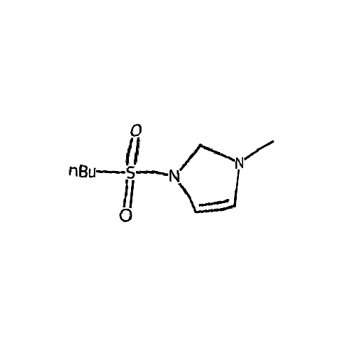 CCCCS(=O)(=O)N1C=CN(C)C1